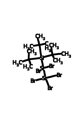 CC(C)(C)[Si](C(C)(C)C)(C(C)(C)C)[Si](Br)(Br)[Si](Br)(Br)Br